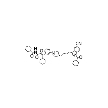 N#Cc1ccc2c(c1)c(CCCCN1CCN(c3ccc4oc(C(=O)NC(=O)C5CCCCC5)c(C5CCCCC5)c4c3)CC1)cn2C(=O)C1CCCCC1